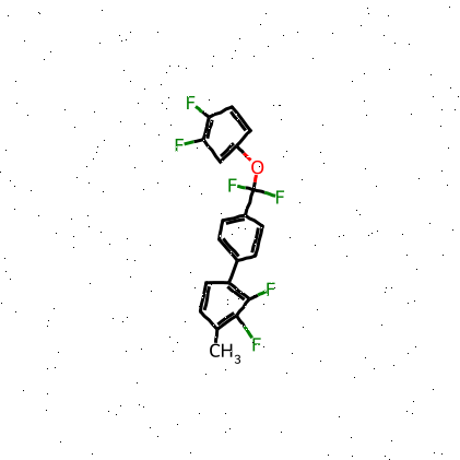 Cc1ccc(-c2ccc(C(F)(F)Oc3ccc(F)c(F)c3)cc2)c(F)c1F